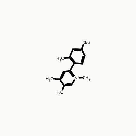 Cc1cc(-c2ccc(C(C)(C)C)cc2C)[n+](C)cc1C